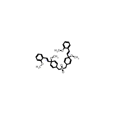 COc1ccccc1/C=C/C1(OC)C=CC(CS(=O)(=O)CC2C=CC(/C=C/c3ccccc3OC)(OC)C=C2)C=C1